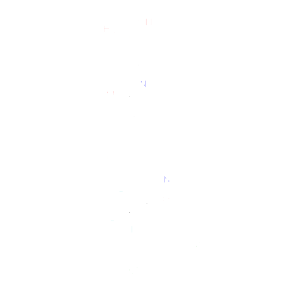 O=C(NC1CS(O)(O)C1)c1ccc(C2=NOC(c3cc(Cl)c(F)c(Cl)c3)(C(F)(F)F)C2)c2sccc12